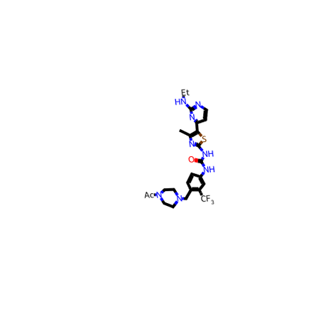 CCNc1nccc(-c2sc(NC(=O)Nc3ccc(CN4CCN(C(C)=O)CC4)c(C(F)(F)F)c3)nc2C)n1